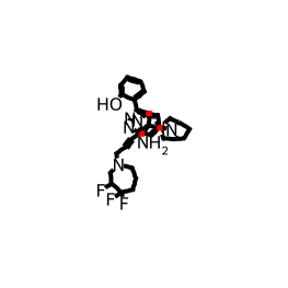 Nc1nnc(-c2ccccc2O)cc1N1CC2CCC(C1)N2c1ccnc(C#CCN2CCCC(F)(F)C(F)C2)c1